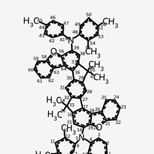 Cc1ccc(N(c2ccc(C)cc2C)c2cc3c(c4c2oc2ccccc24)-c2cc4c(cc2C3(C)C)-c2c(cc(N(c3ccc(C)cc3)c3ccc(C)cc3C)c3oc5ccccc5c23)C4(C)C)cc1